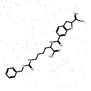 N=C(N)C1Cc2ccc(C(=O)NC(CCCCNC(=O)OCc3ccccc3)C(=O)O)cc2S1